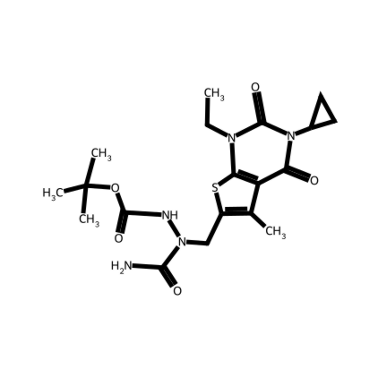 CCn1c(=O)n(C2CC2)c(=O)c2c(C)c(CN(NC(=O)OC(C)(C)C)C(N)=O)sc21